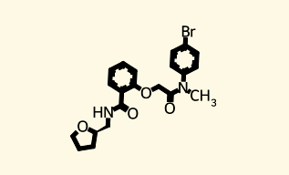 CN(C(=O)COc1ccccc1C(=O)NC[C@H]1CCCO1)c1ccc(Br)cc1